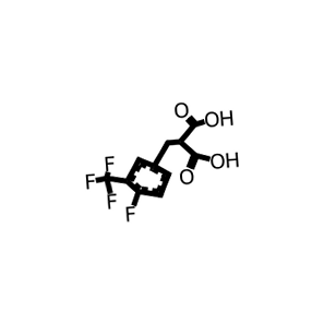 O=C(O)C(Cc1ccc(F)c(C(F)(F)F)c1)C(=O)O